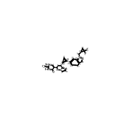 O=c1[nH]cc(-c2cc([C@H]3C[C@@H]3c3ccc4cnn(CC5CC5(F)F)c4c3)c3nccn3n2)c(=O)[nH]1